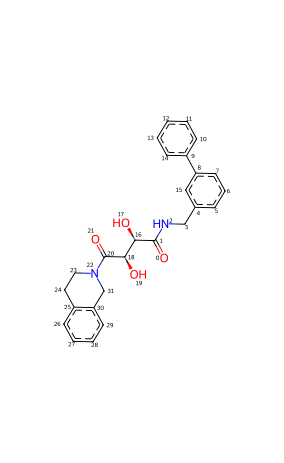 O=C(NCc1cccc(-c2ccccc2)c1)[C@H](O)[C@@H](O)C(=O)N1CCc2ccccc2C1